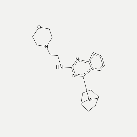 c1ccc2c(N3CC4CCC(CC4)C3)nc(NCCN3CCOCC3)nc2c1